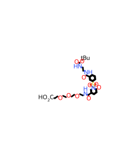 CC(C)(C)OC(=O)NCCNC(=O)c1cccc(S(=O)(=O)n2cc(C(=O)NCCOCCOCCOCCC(=O)O)ccc2=O)c1